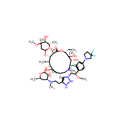 CC[C@H]1OC(=O)[C@H](C)[C@@H](O[C@H]2C[C@@](C)(OC)[C@@H](O)[C@H](C)O2)[C@H](C)[C@@H](O[C@@H]2O[C@H](C)C[C@H](N(C)CCC3=CN([C@H](CF)[C@H](OC)c4ccc(N5CCC(F)(F)C5)cc4)NN3)[C@H]2O)[C@](C)(O)C[C@@H](C)CN(C)[C@H](C)[C@@H](O)[C@]1(C)O